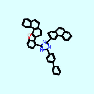 c1ccc(-c2ccc(-c3nc(-c4ccc5ccc6ccccc6c5c4)nc(-c4cccc5oc6c(ccc7ccc8ccccc8c76)c45)n3)cc2)cc1